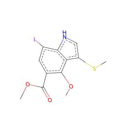 COC(=O)c1cc(I)c2[nH]cc(SC)c2c1OC